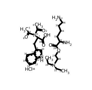 CC(=O)N(C(C)=O)C(Cc1c[nH]c2ccccc12)C(=O)O.CCN(CC)CCOC(=O)C(N)CCCCN.Cl